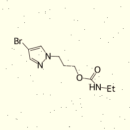 CCNC(=O)OCCCn1cc(Br)cn1